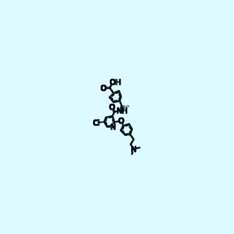 C[C@H](NC(=O)c1cc(Cl)cnc1Oc1ccc(CCN(C)C)cc1)c1ccc(C(=O)O)cc1